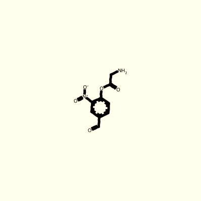 NCC(=O)Oc1ccc(C=O)cc1[N+](=O)[O-]